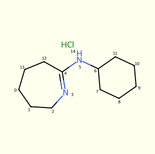 C1CCN=C(NC2CCCCC2)CC1.Cl